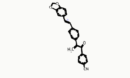 C=C(C(=O)c1ccc(C#N)cc1)c1ccc(/C=C/c2ccc3c(c2)OCO3)cc1